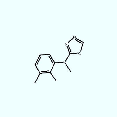 Cc1cccc(N(C)c2nncs2)c1C